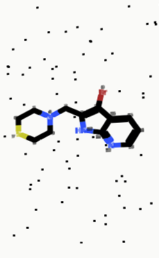 Brc1c(CN2CCSCC2)[nH]c2ncccc12